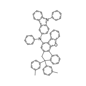 Cc1cccc(C2(c3cccc(C)c3)Cc3cc(N(c4ccccc4)c4ccc5c(c4)c4ccccc4n5-c4ccccc4)c4c(oc5ccccc54)c3-c3ccccc32)c1